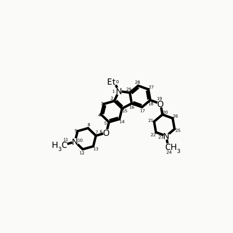 CCn1c2ccc(OC3CCN(C)CC3)cc2c2cc(OC3CCN(C)CC3)ccc21